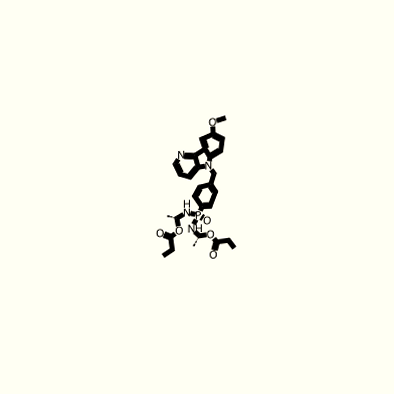 CCC(=O)O[C@H](C)NP(=O)(N[C@@H](C)OC(=O)CC)c1ccc(Cn2c3ccc(OC)cc3c3ncccc32)cc1